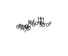 COc1cc2c(Oc3ccc(NC(=S)NC(=O)Cc4cccc(F)c4)cc3F)ccnc2cc1OCC(O)CN1CCOCC1